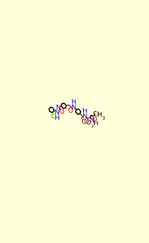 Cc1cc(C(=O)NC(CC(=O)O)c2ccc(NC(=O)Cc3ccc4nc(Nc5ccccc5Cl)oc4c3)cc2)no1